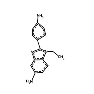 CCn1c(-c2ccc(N)cc2)nc2cc(N)ccc21